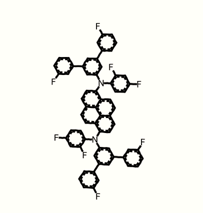 Fc1cccc(-c2cc(-c3cccc(F)c3)cc(N(c3ccc(F)cc3F)c3ccc4ccc5c(N(c6cc(-c7cccc(F)c7)cc(-c7cccc(F)c7)c6)c6ccc(F)cc6F)ccc6ccc3c4c65)c2)c1